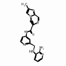 Cc1cn2cc(C(=O)Nc3ccnc(CNc4cccnc4N)c3)ncc2n1